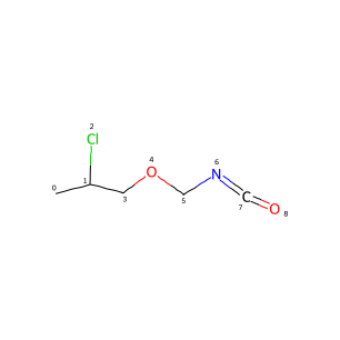 CC(Cl)COCN=C=O